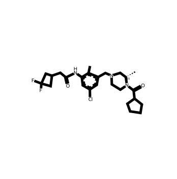 Cc1c(CN2CCN(C(=O)C3CCCC3)[C@@H](C)C2)cc(Cl)cc1NC(=O)CC1CC(F)(F)C1